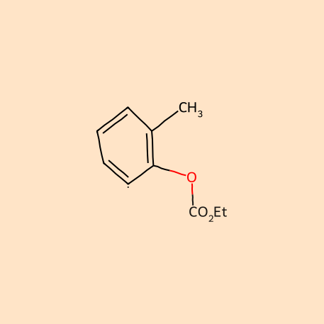 CCOC(=O)Oc1[c]cccc1C